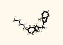 O=C(c1cc2ccccc2[nH]1)c1cc2cc(OCCCCI)ccc2[nH]1